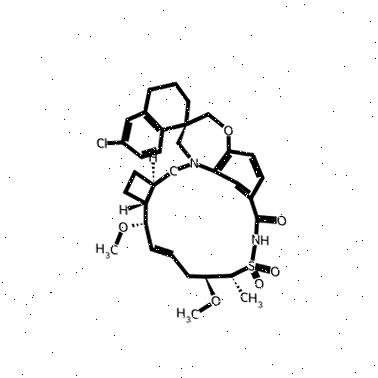 CO[C@H]1/C=C/C[C@H](OC)[C@@H](C)S(=O)(=O)NC(=O)c2ccc3c(c2)N(C[C@@H]2CC[C@H]21)C[C@@]1(CCCc2cc(Cl)ccc21)CO3